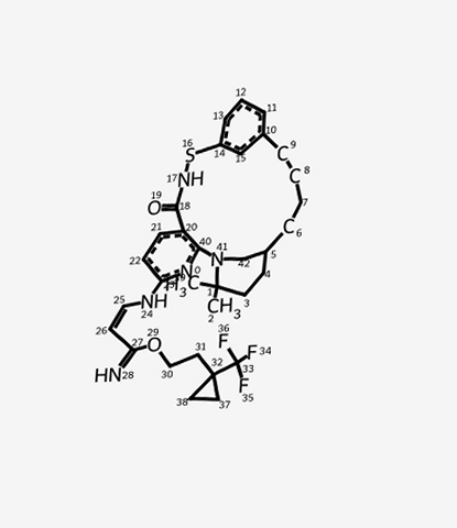 CC1(C)CCC2CCCCc3cccc(c3)SNC(=O)c3ccc(N/C=C\C(=N)OCCC4(C(F)(F)F)CC4)nc3N1C2